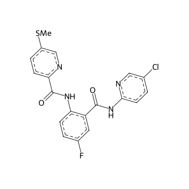 CSc1ccc(C(=O)Nc2ccc(F)cc2C(=O)Nc2ccc(Cl)cn2)nc1